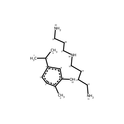 Cc1ccc(C(C)C)cc1O.NCCCCNCCCN